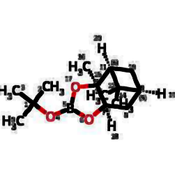 CC(C)(C)OB1O[C@@H]2C[C@@H]3C[C@@H](C3(C)C)[C@]2(C)O1